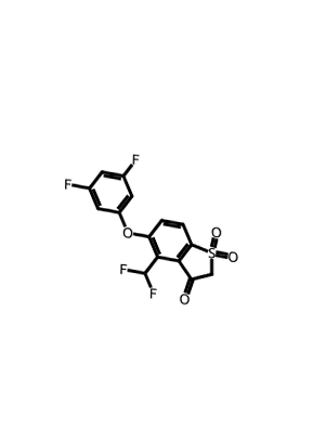 O=C1CS(=O)(=O)c2ccc(Oc3cc(F)cc(F)c3)c(C(F)F)c21